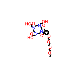 CCOCCOCCOCCOc1ccc(C[C@H]2CN(CC(=O)O)CCN(CC(=O)O)CCN(CC(=O)O)CCN2CC=O)cc1